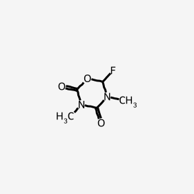 CN1C(=O)OC(F)N(C)C1=O